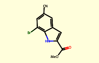 COC(=O)c1cc2cc(C#N)cc(Br)c2[nH]1